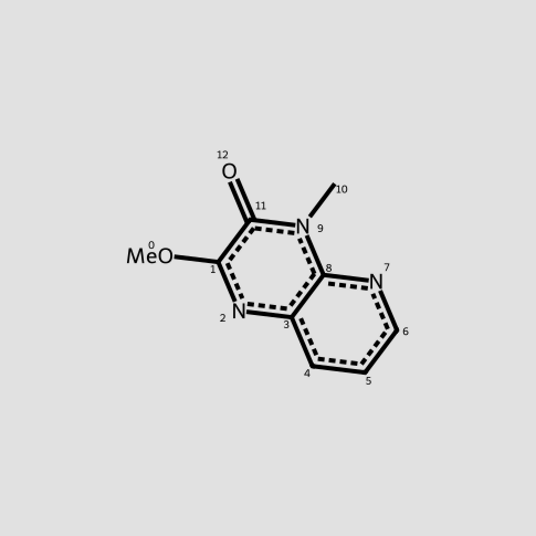 COc1nc2cccnc2n(C)c1=O